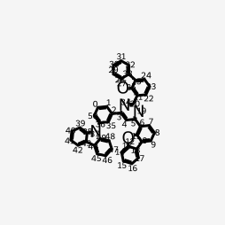 c1cc(-c2cc(-c3cccc4c3oc3ccccc34)nc(-c3cccc4c3oc3ccccc34)n2)cc(-n2c3ccccc3c3ccccc32)c1